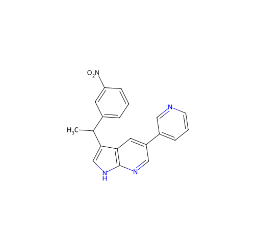 CC(c1cccc([N+](=O)[O-])c1)c1c[nH]c2ncc(-c3cccnc3)cc12